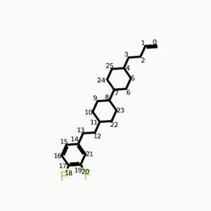 C=CCCC1CCC(C2CCC(CCc3ccc(F)c(F)c3)CC2)CC1